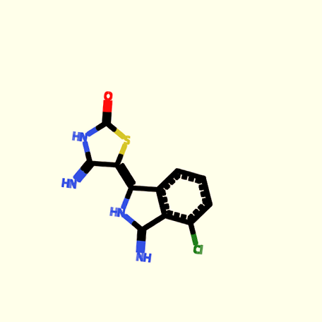 N=C1NC(=O)S/C1=C1/NC(=N)c2c(Cl)cccc21